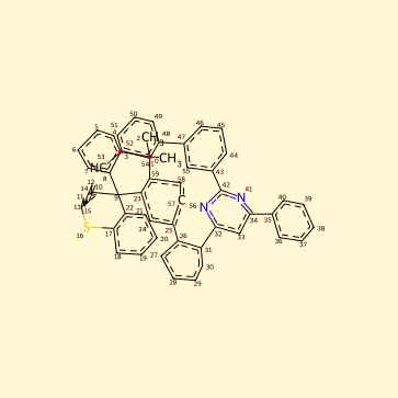 CC1(C)c2ccccc2C2(c3ccccc3Sc3ccccc32)c2cc(-c3ccccc3-c3cc(-c4ccccc4)nc(-c4cccc(-c5cccc(C#N)c5)c4)n3)ccc21